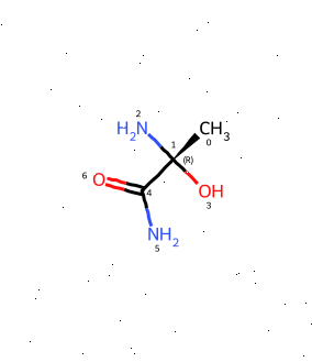 C[C@@](N)(O)C(N)=O